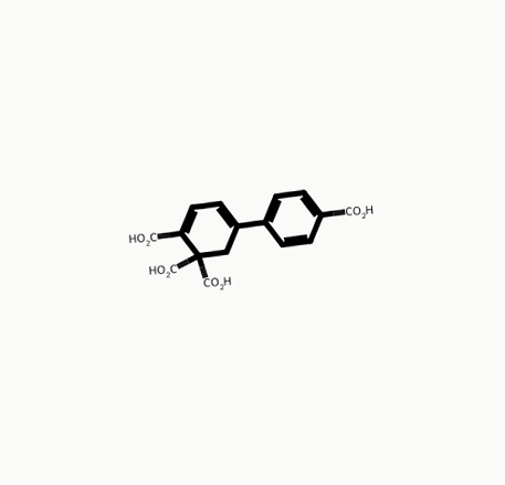 O=C(O)C1=CC=C(c2ccc(C(=O)O)cc2)CC1(C(=O)O)C(=O)O